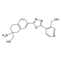 NC1(CO)CCc2ccc(-c3nnc(-c4ccncc4CO)o3)cc2C1